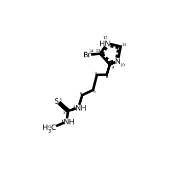 CNC(=S)NCCCCc1nc[nH]c1Br